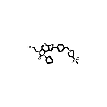 CS(=O)(=O)C1CCN(Cc2ccc(-c3cc4c(ncc5c4n(-c4ccccc4)c(=O)n5CCO)[nH]3)cc2)CC1